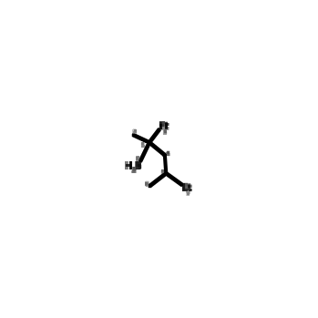 BC(C)(CC)CC(C)CC